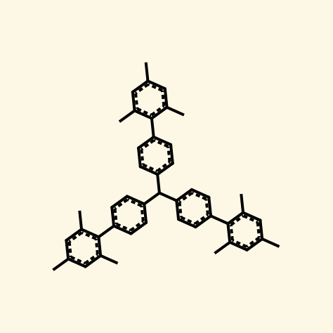 Cc1cc(C)c(-c2ccc(C(c3ccc(-c4c(C)cc(C)cc4C)cc3)c3ccc(-c4c(C)cc(C)cc4C)cc3)cc2)c(C)c1